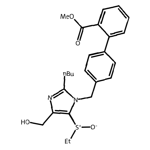 CCCCc1nc(CO)c([S+]([O-])CC)n1Cc1ccc(-c2ccccc2C(=O)OC)cc1